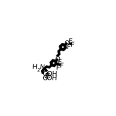 CC[C@@](N)(CCc1ccc(OCCCc2ccc(OC(F)(F)F)cc2)c(C(F)(F)F)c1)COP(=O)(O)O